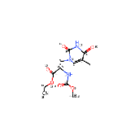 Cc1cn(C[C@H](NC(=O)OC(C)(C)C)C(=O)OCC#N)c(=O)[nH]c1=O